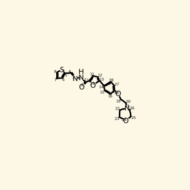 O=C(NN=Cc1cccs1)c1ccc(-c2ccc(OCCN3CCOCC3)cc2)o1